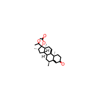 CC(=O)O[C@]1(C(C)=O)[C@@H](C)C[C@H]2[C@@H]3C[C@H](C)C4=CC(=O)CC[C@]4(C)C3=CC[C@@]21C